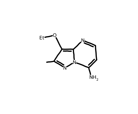 CCOc1c(C)nn2c(N)ccnc12